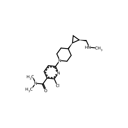 CNC[C@@H]1C[C@@H]1C1CCN(c2ccc(C(=O)N(C)C)c(Cl)n2)CC1